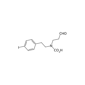 O=CCCN(CCc1ccc(I)cc1)C(=O)O